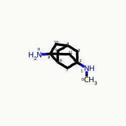 CNC12CC3CC(C1)C(N)(C3)C2